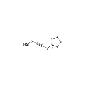 SSC#CCN1CCCC1